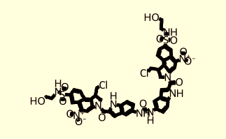 O=C(Nc1ccc2[nH]c(C(=O)N3CC(CCl)c4c3cc([N+](=O)[O-])c3cc(S(=O)(=O)NCCO)ccc43)cc2c1)Nc1ccc2[nH]c(C(=O)N3CC(CCl)c4c3cc([N+](=O)[O-])c3cc(S(=O)(=O)NCCO)ccc43)cc2c1